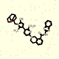 Cc1c(-c2ccc(N3CCc4cccc(C(=O)Nc5nc6ccccc6s5)c4C3)nc2C(=O)O)cc(C#N)n1CC12CC3CC(CC(C3)O1)C2